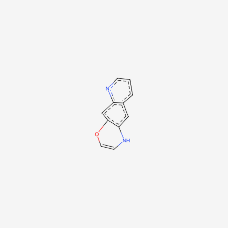 C1=COc2cc3ncccc3cc2N1